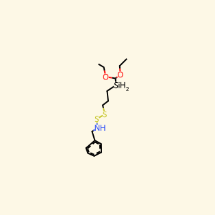 CCOC(OCC)[SiH2]CCCSSNCc1ccccc1